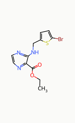 CCOC(=O)c1nccnc1NCc1ccc(Br)s1